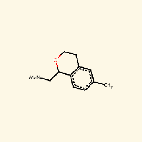 CNCC1OCCc2cc(C)ccc21